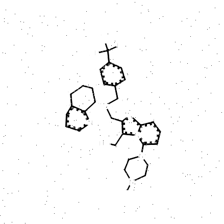 CN1CCN(c2cccc3nc(CN(Cc4ccc(C(F)(F)F)cc4)[C@H]4CCCc5cccnc54)c(CO)n23)CC1